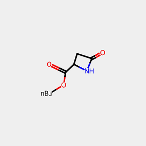 CCCCOC(=O)C1CC(=O)N1